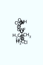 Cc1nn(CC(C)(CO)CCl)c(C)c1-c1cc(F)nc(O[C@@H]2CCN(c3cn[nH]c(=O)c3Cl)C2)c1